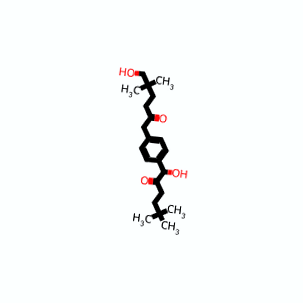 CC(C)(C)CCC(=O)C(O)c1ccc(CC(=O)CCC(C)(C)CO)cc1